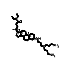 CCN(CC)C(=O)CC[C@@H](C)[C@H]1CCC2C3CCC4C[C@@H](NCCCN(CCCN)CCCN)CC[C@]4(C)C3CC[C@@]21C